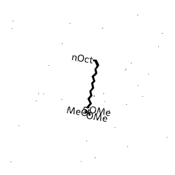 CCCCCCCC/C=C\CCCCCCC[CH]CCC[Si](OC)(OC)OC